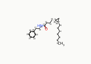 CCCCCCC[C@@H]1C[C@H]1CCCC(=O)NCCc1ccccc1